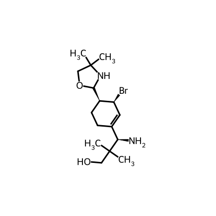 CC1(C)COC([C@@H]2CCC([C@@H](N)C(C)(C)CO)=C[C@@H]2Br)N1